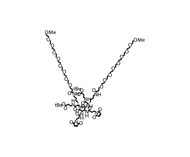 COCCOCCOCCOCCOCCOCCOCCOCCOCCC(=O)NCCCC[C@H](NC(=O)C(NC(=O)CCN1C(=O)C=CC1=O)C(NC(=O)CCN1C(=O)C=CC1=O)C(=O)N[C@@H](CCCCNC(=O)CCOCCOCCOCCOCCOCCOCCOCCOCCOC)C(=O)NCCC(=O)OC(C)(C)C)C(=O)NCCC(=O)OC(C)(C)C